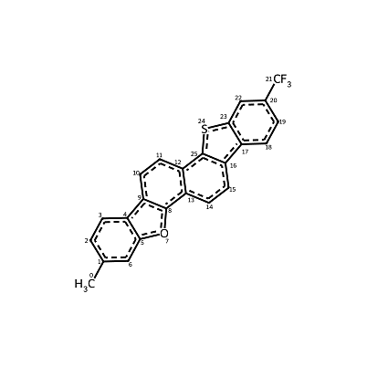 Cc1ccc2c(c1)oc1c2ccc2c1ccc1c3ccc(C(F)(F)F)cc3sc12